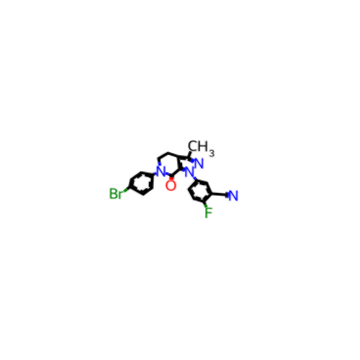 Cc1nn(-c2ccc(F)c(C#N)c2)c2c1CCN(c1ccc(Br)cc1)C2=O